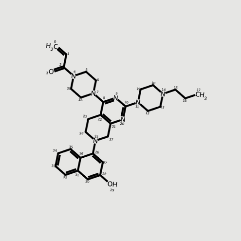 C=CC(=O)N1CCN(c2nc(N3CCN(CCC)CC3)nc3c2CCN(c2cc(O)cc4ccccc24)C3)CC1